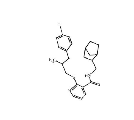 CC(CSc1ncccc1C(=O)NCC1CC2CCC1C2)Cc1ccc(F)cc1